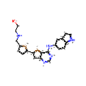 OCCNCc1ccc(-c2cc3ncnc(Nc4ccc5[nH]ccc5c4)c3s2)s1